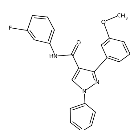 COc1cccc(-c2nn(-c3ccccc3)cc2C(=O)Nc2cccc(F)c2)c1